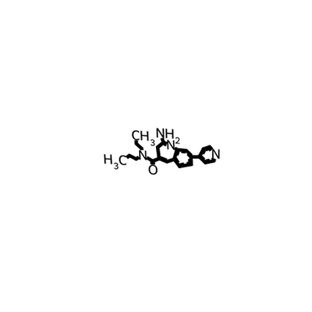 CCCN(CCC)C(=O)C1=Cc2ccc(-c3ccncc3)cc2N=C(N)C1